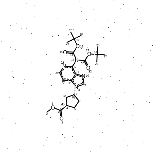 COC(=O)[C@@H]1CC[C@@H](n2cnc3c(N(C(=O)OC(C)(C)C)C(=O)OC(C)(C)C)nccc32)C1